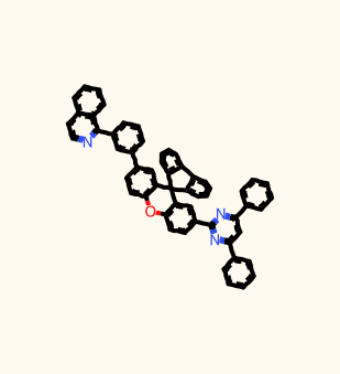 c1ccc(-c2cc(-c3ccccc3)nc(-c3ccc4c(c3)C3(c5cc(-c6cccc(-c7nccc8ccccc78)c6)ccc5O4)c4ccccc4-c4ccccc43)n2)cc1